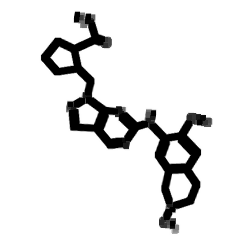 COc1cc2c(cc1Nc1ncc3cnn(CC4CCCC4C(N)=O)c3n1)CN(C)CC2